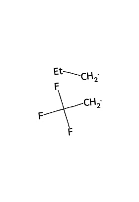 [CH2]C(F)(F)F.[CH2]CC